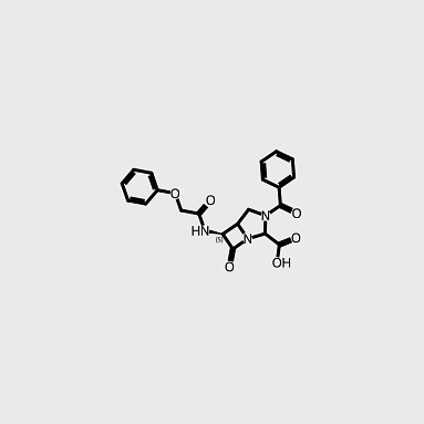 O=C(COc1ccccc1)N[C@@H]1C(=O)N2C1CN(C(=O)c1ccccc1)C2C(=O)O